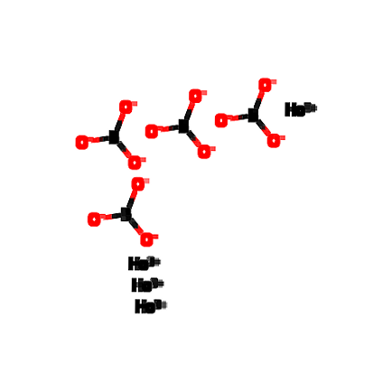 [Ho+3].[Ho+3].[Ho+3].[Ho+3].[O-]B([O-])[O-].[O-]B([O-])[O-].[O-]B([O-])[O-].[O-]B([O-])[O-]